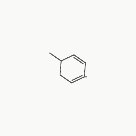 CC1C=C[C]=CC1